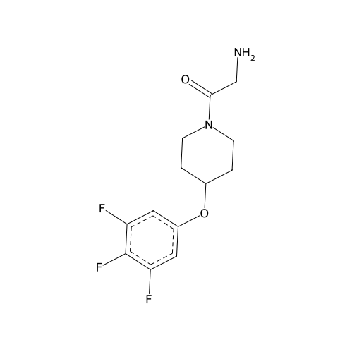 NCC(=O)N1CCC(Oc2cc(F)c(F)c(F)c2)CC1